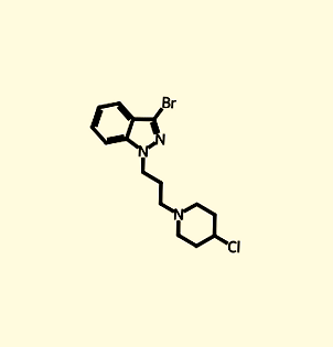 ClC1CCN(CCCn2nc(Br)c3ccccc32)CC1